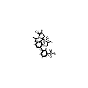 CC(C)N1C(=O)NCC1(c1cccc(-c2cccc(S(C)(=O)=O)c2)c1)S(=O)(=O)C(C)C